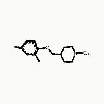 CN1CCC(COc2ccc(F)cc2F)CC1